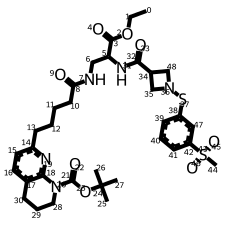 CCOC(=O)C(CNC(=O)CCCCc1ccc2c(n1)N(C(=O)OC(C)(C)C)CCC2)NC(=O)C1CN(Sc2cccc(S(C)(=O)=O)c2)C1